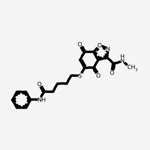 CNC(=O)c1noc2c1C(=O)C(SCCCCC(=O)Nc1ccccc1)=CC2=O